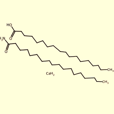 CCCCCCCCCCCCCCCCCC(=O)O.CCCCCCCCCCCCCCCCCC(N)=O.[CaH2]